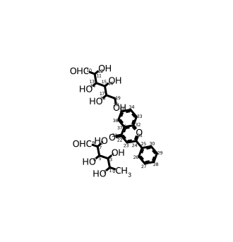 CC(O)C(O)C(O)C(O)C=O.O=CC(O)C(O)C(O)C(O)CO.O=c1cc(-c2ccccc2)oc2ccccc12